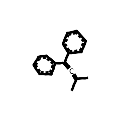 CC(C)=C=C(c1ccccc1)c1ccccc1